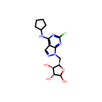 OC1O[C@H](Cn2ncc3c(NC4CCCC4)nc(Cl)nc32)[C@H](O)[C@@H]1O